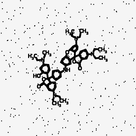 CCN(CC)c1ccc(C2(c3ccc(Nc4ccc5c(c4)C4(OC(=O)c6cc(N(CC)CC)ccc64)c4ccc(N(CC)CC)cc4O5)cc3)OC(=O)c3cc(N(CC)CC)ccc32)c(O)c1